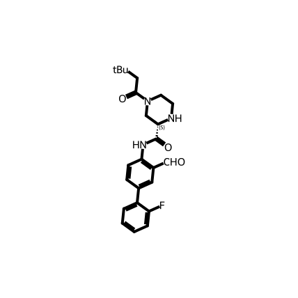 CC(C)(C)CC(=O)N1CCN[C@H](C(=O)Nc2ccc(-c3ccccc3F)cc2C=O)C1